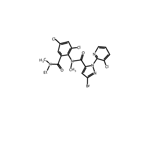 CCN(C)C(=O)c1cc(Cl)cc(Cl)c1N(C)C(=O)c1cc(Br)nn1-c1ncccc1Cl